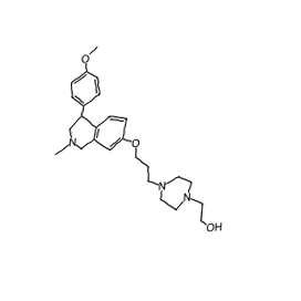 COc1ccc(C2CN(C)Cc3cc(OCCCN4CCN(CCO)CC4)ccc32)cc1